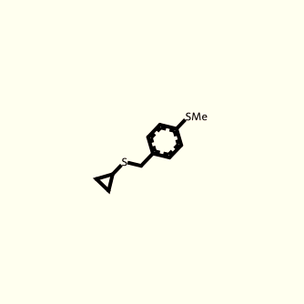 CSc1ccc(CSC2CC2)cc1